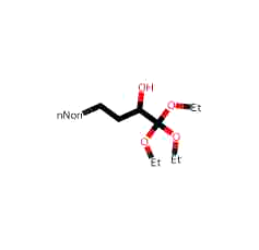 CCCCCCCCCCCC(O)C(OCC)(OCC)OCC